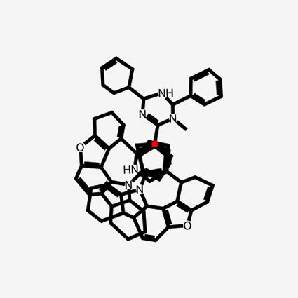 CN1C(C2=C(C3=CCCc4oc5ccc6c(c5c43)N(C3=CC=CCC3)C3CCCCC63)NCC(C3CC=Cc4oc5c(c43)C3C(C=C5)C4CCCC=C4N3c3ccccc3)=C2)=NC(C2CC=CCC2)NC1c1ccccc1